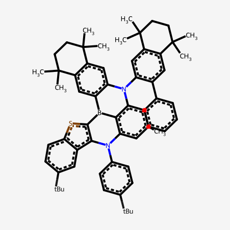 Cc1cc2c3c(c1)N(c1ccc(C(C)(C)C)cc1)c1c(sc4ccc(C(C)(C)C)cc14)B3c1cc3c(cc1N2c1cc2c(cc1-c1ccccc1)C(C)(C)CCC2(C)C)C(C)(C)CCC3(C)C